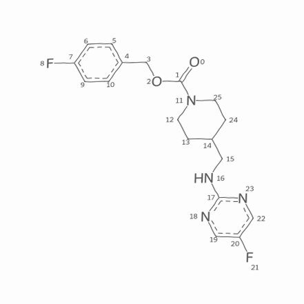 O=C(OCc1ccc(F)cc1)N1CCC(CNc2ncc(F)cn2)CC1